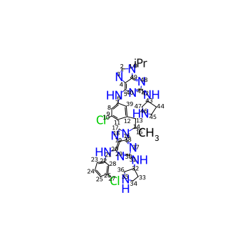 CC(C)n1cnc2c(Nc3cc(Cl)cc(CC(C)n4cnc5c(Nc6cccc(Cl)c6)nc(N[C@H]6CCNC6)nc54)c3)nc(N[C@@H]3CCNC3)nc21